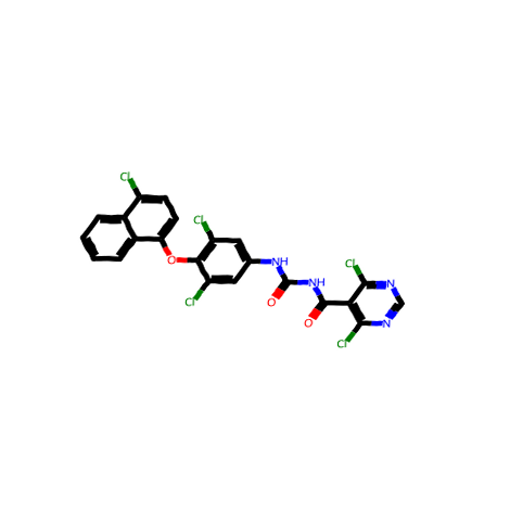 O=C(NC(=O)c1c(Cl)ncnc1Cl)Nc1cc(Cl)c(Oc2ccc(Cl)c3ccccc23)c(Cl)c1